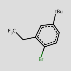 CC(C)(C)c1ccc(Br)c(CC(F)(F)F)c1